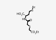 CCOC(=O)CSCC(=O)N[C@@H](CCSC(C)=O)C(=O)O